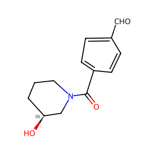 O=Cc1ccc(C(=O)N2CCC[C@H](O)C2)cc1